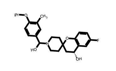 Cc1cc(C(O)N2CCC3(CC2)C[C@@H](O)c2cc(F)ccc2O3)ccc1OC(C)C